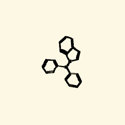 c1ccc(N(c2ccccc2)n2ccc3ccccc32)cc1